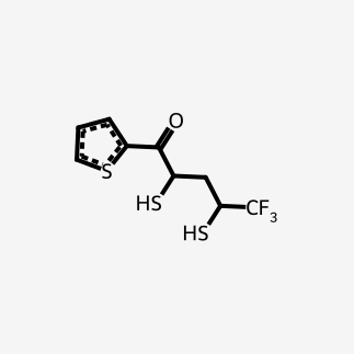 O=C(c1cccs1)C(S)CC(S)C(F)(F)F